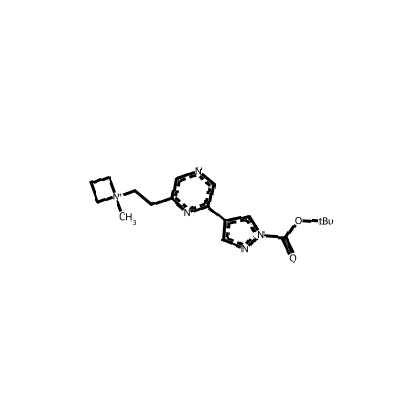 CC(C)(C)OC(=O)n1cc(-c2cncc(CC[N+]3(C)CCC3)n2)cn1